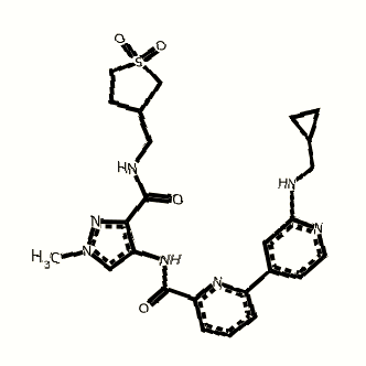 Cn1cc(NC(=O)c2cccc(-c3ccnc(NCC4CC4)c3)n2)c(C(=O)NCC2CCS(=O)(=O)C2)n1